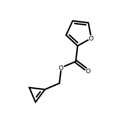 O=C(OCC1=CC1)c1ccco1